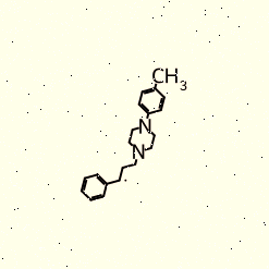 Cc1ccc(N2CCN(CC[CH]c3ccccc3)CC2)cc1